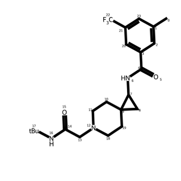 Cc1cc(C(=O)NC2CC23CCN(CC(=O)NC(C)(C)C)CC3)cc(C(F)(F)F)c1